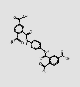 O=C(O)c1ccc(C(=O)O)c(C(=O)Nc2ccc(NC(=O)c3cc(C(=O)O)ccc3C(=O)O)cc2)c1